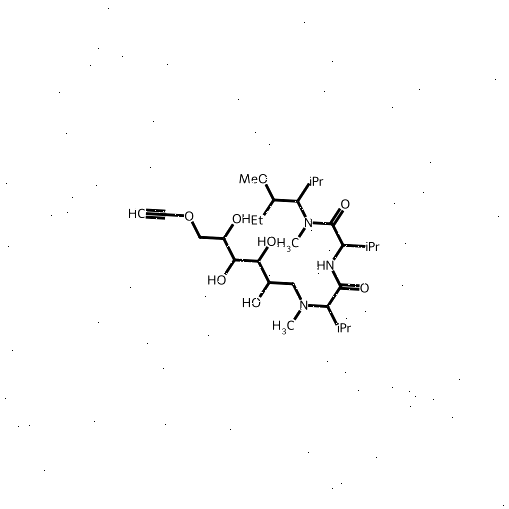 C#COCC(O)C(O)C(O)C(O)CN(C)C(C(=O)NC(C(=O)N(C)C(C(C)C)C(CC)OC)C(C)C)C(C)C